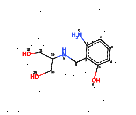 Nc1cccc(O)c1CNC(CO)CO